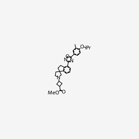 COC(=O)C1CC(N2CCC3(CCc4c(-c5noc(-c6ccc(OC(C)C)c(C)c6)n5)cccc43)C2)C1